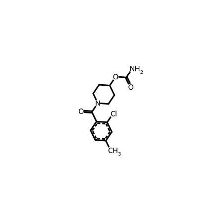 Cc1ccc(C(=O)N2CCC(OC(N)=O)CC2)c(Cl)c1